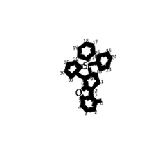 Cc1cccc2oc3c4c(ccc3c12)[Si](c1ccccc1)(c1ccccc1)c1ccccc1-4